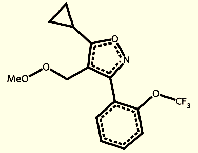 COOCc1c(-c2ccccc2OC(F)(F)F)noc1C1CC1